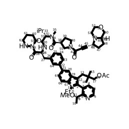 CCn1c(-c2cccnc2[C@H](C)OC)c(CC(C)(C)COC(C)=O)c2cc(-c3cccc(C[C@H](NC(=O)[C@H](C(C)C)N(C)C(=O)[C@H]4CCN(C(=O)C#C[C@H]5CC[C@@H]6COCCN65)C4)C(=O)N4CCCCN4)c3)ccc21